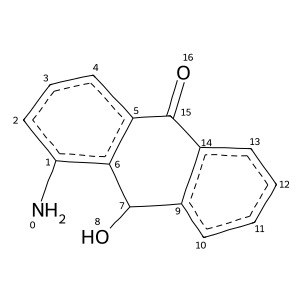 Nc1cccc2c1C(O)c1ccccc1C2=O